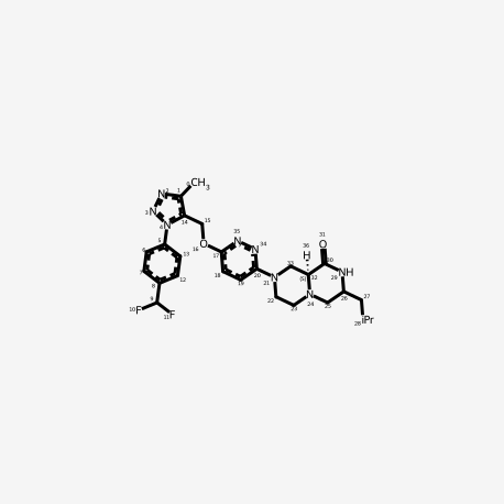 Cc1nnn(-c2ccc(C(F)F)cc2)c1COc1ccc(N2CCN3CC(CC(C)C)NC(=O)[C@@H]3C2)nn1